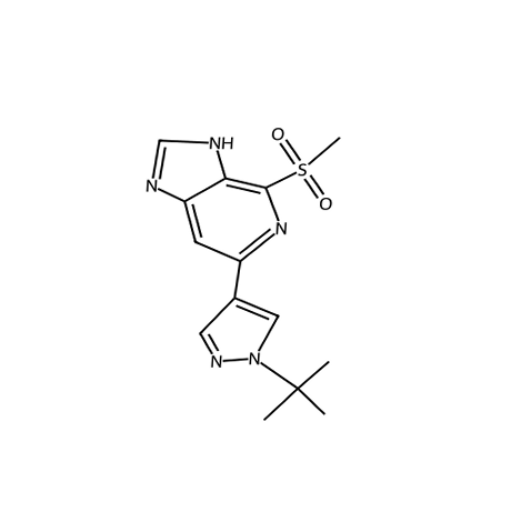 CC(C)(C)n1cc(-c2cc3nc[nH]c3c(S(C)(=O)=O)n2)cn1